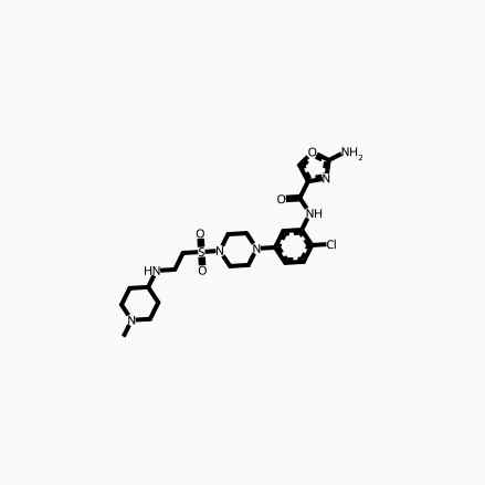 CN1CCC(NCCS(=O)(=O)N2CCN(c3ccc(Cl)c(NC(=O)c4coc(N)n4)c3)CC2)CC1